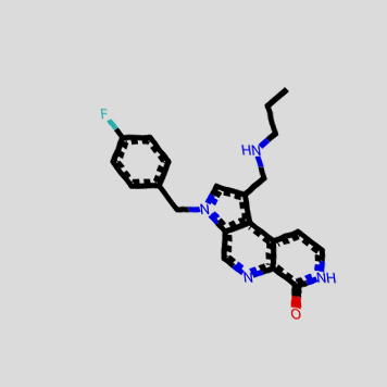 CCCNCc1cn(Cc2ccc(F)cc2)c2cnc3c(=O)[nH]ccc3c12